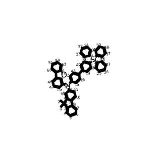 CC1(C)c2ccccc2-c2ccc(N(c3ccc(-c4ccc([Si](c5ccccc5)(c5ccccc5)c5ccccc5)cc4)cc3)c3cccc4c3oc3ccccc34)cc21